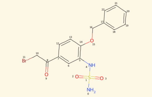 NS(=O)(=O)Nc1cc(C(=O)CBr)ccc1OCc1ccccc1